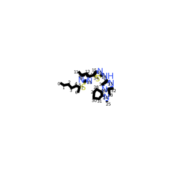 CCCCCC(C)Sc1nc(C)cc(-c2cnc(Nc3cnc(CN(C)C4CCCCC4)cn3)s2)n1